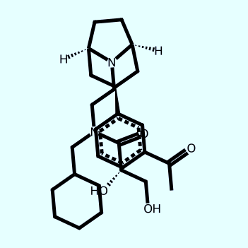 CC(=O)c1cccc([C@H]2C[C@H]3CC[C@@H](C2)N3CCN(CC2CCCCC2)C(=O)[C@@H](O)CO)c1